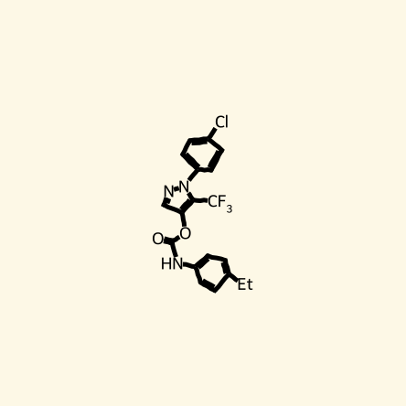 CCc1ccc(NC(=O)Oc2cnn(-c3ccc(Cl)cc3)c2C(F)(F)F)cc1